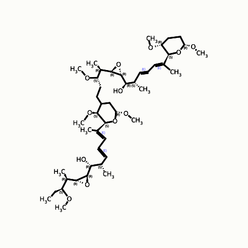 CC[C@H](OC)[C@@H](C)[C@H]1O[C@@H]1[C@H](O)[C@@H](C)/C=C/C=C(\C)[C@@H]1O[C@@H](OC)CC(CC[C@H](OC)[C@@H](C)[C@H]2O[C@@H]2[C@H](O)[C@@H](C)/C=C/C=C(\C)[C@@H]2O[C@@H](OC)CC[C@H]2OC)[C@@H]1OC